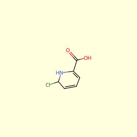 O=C(O)C1=CC=CC(Cl)N1